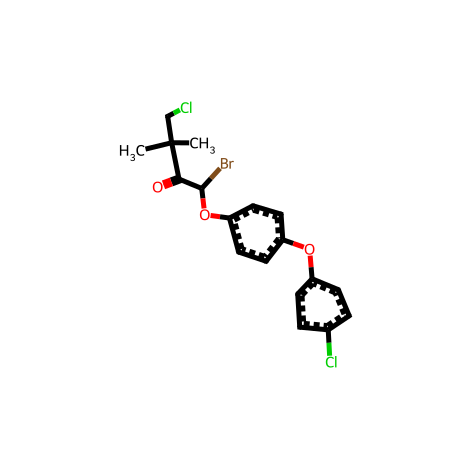 CC(C)(CCl)C(=O)C(Br)Oc1ccc(Oc2ccc(Cl)cc2)cc1